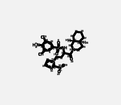 Nc1c(Cl)cc(S(=O)(=O)NC(CCn2ccnc2[N+](=O)[O-])C(=O)N2CC[C@@H]3CCCC[C@H]3C2)cc1Cl